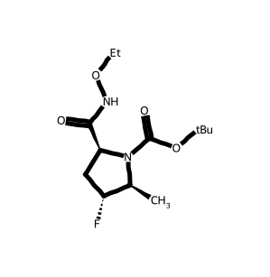 CCONC(=O)[C@@H]1C[C@@H](F)[C@H](C)N1C(=O)OC(C)(C)C